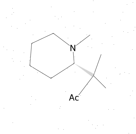 CC(=O)C(C)(C)[C@@H]1CCCCN1C